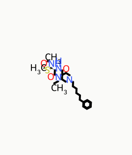 CCCN1C(=O)[C@H](C(NC(C)=O)SC)NC(=O)C12CCN(CCCCCCc1ccccc1)CC2